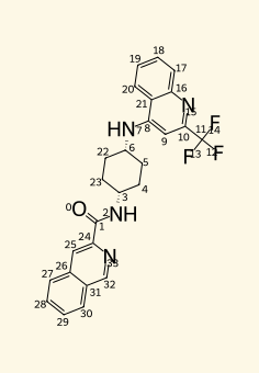 O=C(N[C@H]1CC[C@@H](Nc2cc(C(F)(F)F)nc3ccccc23)CC1)c1cc2ccccc2cn1